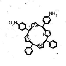 Nc1ccc(C2=C3C=CC(=N3)C(c3ccccc3)=C3C=CC(=N3)C(c3ccccc3)=C3C=CC(=N3)C(c3ccc([N+](=O)[O-])cc3)=C3C=CC2=N3)cc1